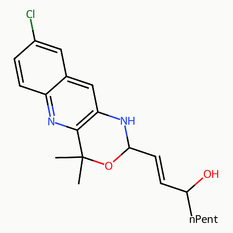 CCCCCC(O)/C=C/C1Nc2cc3cc(Cl)ccc3nc2C(C)(C)O1